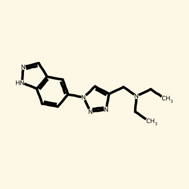 CCN(CC)Cc1cn(-c2ccc3[nH]ncc3c2)nn1